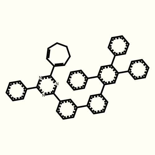 C1=CC(c2nc(-c3ccccc3)nc(-c3cccc(-c4cccc(-c5cc(-c6ccccc6)c(-c6ccccc6)cc5-c5ccccc5)c4)c3)n2)=CCCC1